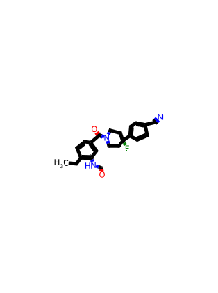 CCc1ccc(C(=O)N2CCC(F)(c3ccc(C#N)cc3)CC2)cc1NC=O